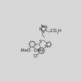 COc1cccc([C@H]2S[C@H](CCn3nnnc3CC(=O)O)c3cccn3-c3ccc(Cl)cc32)c1OC